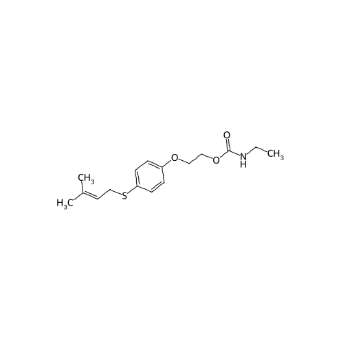 CCNC(=O)OCCOc1ccc(SCC=C(C)C)cc1